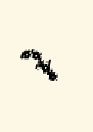 CC(c1ccc(CCNC(=O)c2ccc(OCc3ccccc3)cc2)cc1)N1CCN(C)CC1